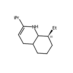 CC[C@H]1CCCC2CC=C(C(C)C)NC21